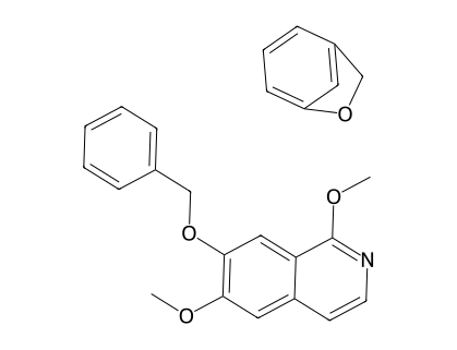 COc1cc2ccnc(OC)c2cc1OCc1ccccc1.c1cc2cc(c1)OC2